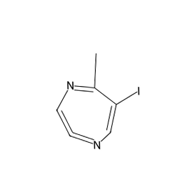 CC1=NC=C=NC=C1I